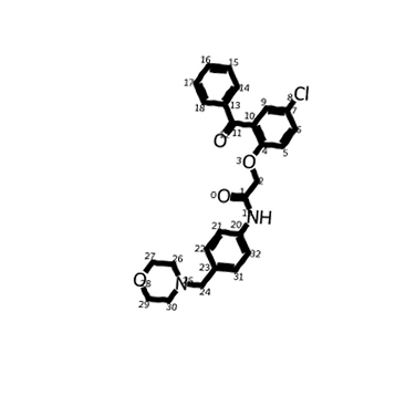 O=C(COc1ccc(Cl)cc1C(=O)c1ccccc1)Nc1ccc(CN2CCOCC2)cc1